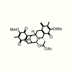 C=C1C(C)=C(OC)C(=O)C2=C1C[C@H]1C3C4=C(CC([C@H](O)N1[C@H]2CCOC(C)=O)N3CC)C(=O)C(C)=C(OC)C4=O